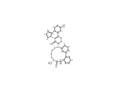 C[C@@H]1CCCC[C@H](N2CCC(c3cc(Cl)ccc3-n3cncn3)=CC2=O)c2cc(ccn2)-c2ccccc2NC1=O